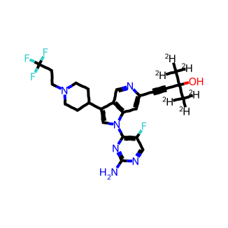 [2H]C([2H])([2H])C(O)(C#Cc1cc2c(cn1)c(C1CCN(CCC(F)(F)F)CC1)cn2-c1nc(N)ncc1F)C([2H])([2H])[2H]